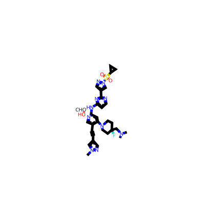 CN(C)CC1(F)CCN(c2cc(Nc3ccnc(-c4cnn(S(=O)(=O)C5CC5)c4)n3)ncc2C#Cc2cnn(C)c2)CC1.O=CO